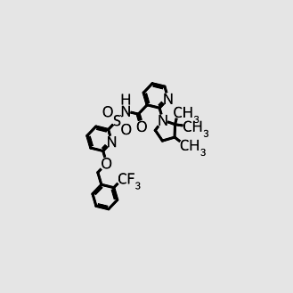 CC1CCN(c2ncccc2C(=O)NS(=O)(=O)c2cccc(OCc3ccccc3C(F)(F)F)n2)C1(C)C